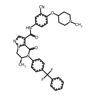 C[C@H]1Cn2ncc(C(=O)Nc3ccc(OC4CCN(C)CC4)c(C#N)c3)c2C(=O)N1c1ccc(C(F)(F)c2ccccc2)cc1